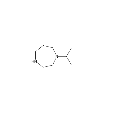 CCC(C)N1CCCNCC1